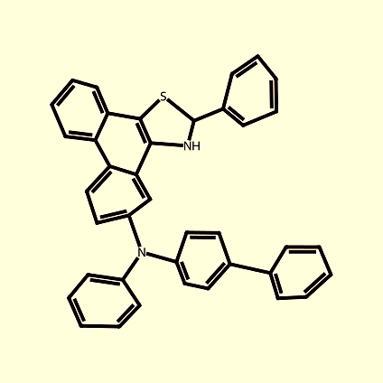 c1ccc(-c2ccc(N(c3ccccc3)c3ccc4c(c3)c3c(c5ccccc54)SC(c4ccccc4)N3)cc2)cc1